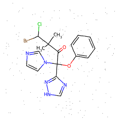 CC(C)(C(=O)C(Oc1ccccc1)(c1nc[nH]n1)n1ccnc1)C(Cl)Br